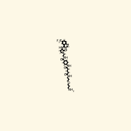 NCCCOCCCNC(=O)CCCC(=O)N[C@H]1CC[C@@H](C(=O)NCCN2CC[C@H](Nc3ncnc4ccc(C(F)(F)F)cc34)C2=O)CC1